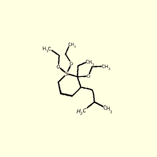 CCOC1(CC)C(CC(C)C)CCC[Si]1(OCC)OCC